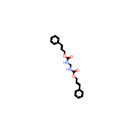 O=C(NCNC(=O)OCC=Cc1ccccc1)OCC=Cc1ccccc1